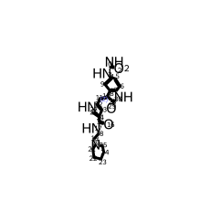 NC(=O)Nc1ccc2c(c1)/C(=C/c1cc(C(=O)NCCN3CCCCC3)c[nH]1)C(=O)N2